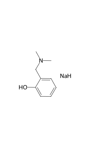 CN(C)Cc1ccccc1O.[NaH]